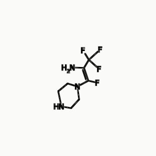 N/C(=C(/F)N1CCNCC1)C(F)(F)F